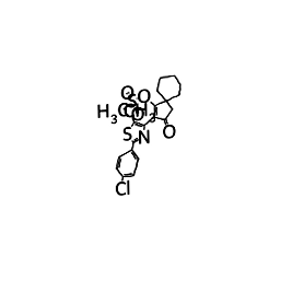 Cc1sc(-c2ccc(Cl)cc2)nc1C1=C(OS(C)(=O)=O)C2(CCCCC2)CC1=O